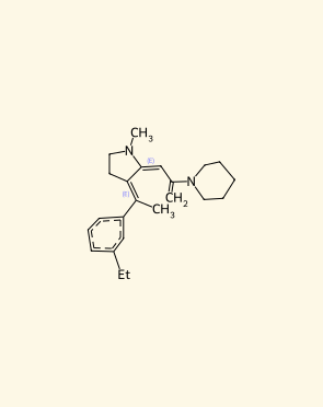 C=C(/C=C1\C(=C(/C)c2cccc(CC)c2)CCN1C)N1CCCCC1